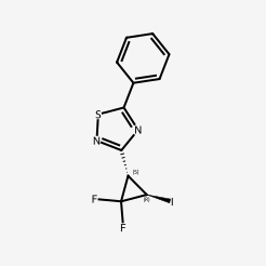 FC1(F)[C@H](I)[C@H]1c1nsc(-c2ccccc2)n1